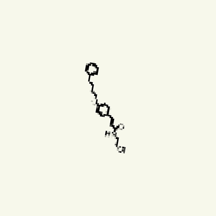 O=C(C=Cc1ccc(OCCCCc2ccccc2)cc1)NCCO